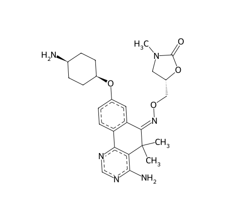 CN1C[C@@H](CO/N=C2\c3cc(O[C@H]4CC[C@@H](N)CC4)ccc3-c3ncnc(N)c3C2(C)C)OC1=O